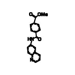 COC(=O)c1ccc(C(=O)Nc2ccc3ncccc3c2)cc1